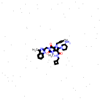 CC#CCn1c(N2CCC[C@@H](N)C2)c(C(=O)NCC2CCC2)c2c1c(=O)n(Cc1nc(C)c3ccccc3n1)c(=O)n2C